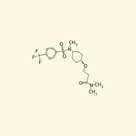 CN(C)C(=O)CCO[C@H]1CC[C@H](N(C)S(=O)(=O)c2ccc(C(F)(F)F)cc2)CC1